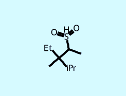 CCC(C)(C(C)C)C(C)[SH](=O)=O